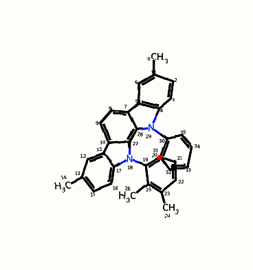 Cc1ccc2c(c1)c1ccc3c4cc(C)ccc4n(-c4cccc(C)c4C)c3c1n2-c1ccccc1